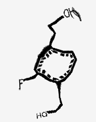 OCc1ccc(CO)c(F)c1